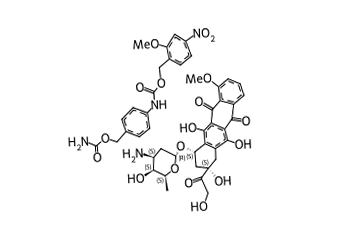 COc1cc([N+](=O)[O-])ccc1COC(=O)Nc1ccc(COC(N)=O)cc1.COc1cccc2c1C(=O)c1c(O)c3c(c(O)c1C2=O)C[C@@](O)(C(=O)CO)C[C@@H]3O[C@H]1C[C@H](N)[C@H](O)[C@H](C)O1